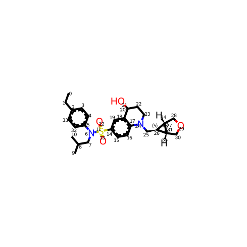 CCc1ccc(N(CC(C)C)S(=O)(=O)c2ccc3c(c2)C(O)CCN3C[C@H]2[C@@H]3COC[C@@H]32)cc1